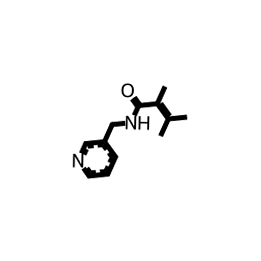 CC(C)=C(C)C(=O)NCc1cccnc1